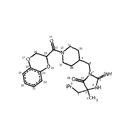 CC(C)CC1(C)NC(=N)N(CC2CCN(C(=O)C3COc4ccccc4O3)CC2)C1=O